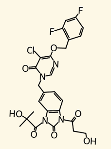 CC(C)(O)C(=O)n1c(=O)n(C(=O)CCO)c2ccc(Cn3cnc(OCc4ccc(F)cc4F)c(Cl)c3=O)cc21